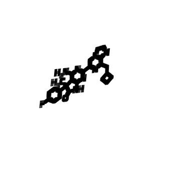 CC1(c2ccc(F)cc2)C(=O)Nc2nc(-c3cn4ccnc4c(CC4CCC4)n3)nc(N)c21